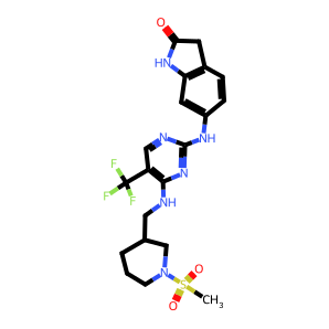 CS(=O)(=O)N1CCCC(CNc2nc(Nc3ccc4c(c3)NC(=O)C4)ncc2C(F)(F)F)C1